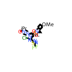 COc1ccc(CN(C2(C#N)CC2)S(=O)(=O)c2cc(N3CCN(C(=O)C(C)C)CC3)n3c(Cl)nc(-c4nnc(C(F)F)s4)c3c2)cc1